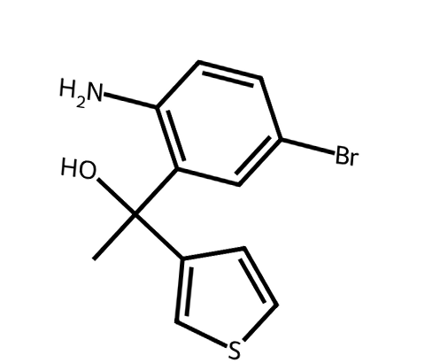 CC(O)(c1ccsc1)c1cc(Br)ccc1N